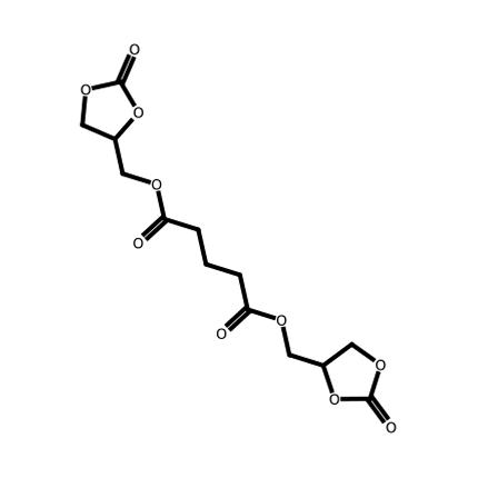 O=C(CCCC(=O)OCC1COC(=O)O1)OCC1COC(=O)O1